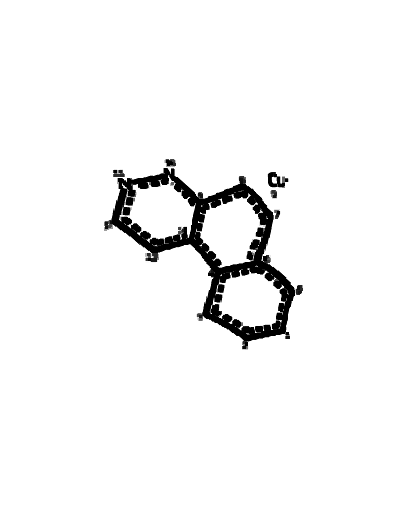 [Cu].c1ccc2c(c1)ccc1nnccc12